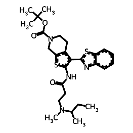 CCC(C)N(C)CCC(=O)Nc1sc2c(c1-c1nc3ccccc3s1)CCN(C(=O)OC(C)(C)C)C2